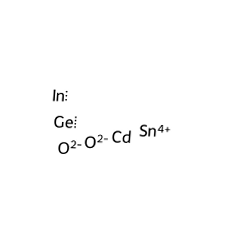 [Cd].[Ge].[In].[O-2].[O-2].[Sn+4]